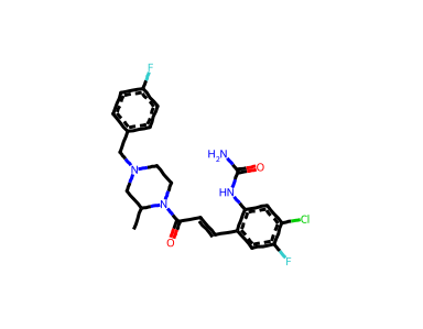 CC1CN(Cc2ccc(F)cc2)CCN1C(=O)/C=C/c1cc(F)c(Cl)cc1NC(N)=O